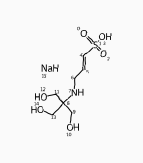 O=S(=O)(O)C=CCNC(CO)(CO)CO.[NaH]